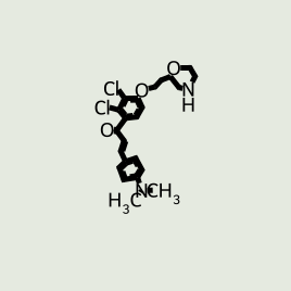 CN(C)c1ccc(C=CC(=O)c2ccc(OCCC3CNCCO3)c(Cl)c2Cl)cc1